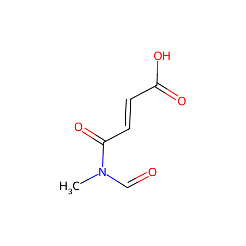 CN(C=O)C(=O)C=CC(=O)O